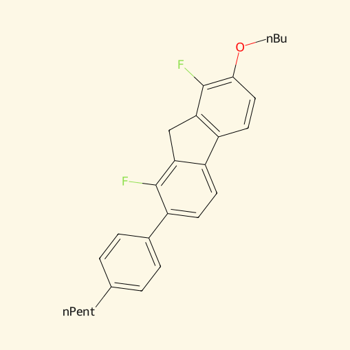 CCCCCc1ccc(-c2ccc3c(c2F)Cc2c-3ccc(OCCCC)c2F)cc1